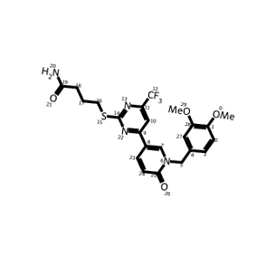 COc1ccc(Cn2cc(-c3cc(C(F)(F)F)nc(SCCCC(N)=O)n3)ccc2=O)cc1OC